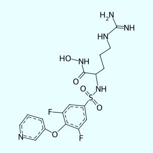 N=C(N)NCCCC(NS(=O)(=O)c1cc(F)c(Oc2cccnc2)c(F)c1)C(=O)NO